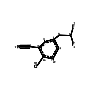 N#Cc1nc(CC(F)F)cnc1Cl